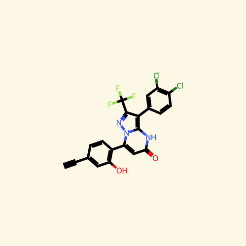 C#Cc1ccc(-c2cc(=O)[nH]c3c(-c4ccc(Cl)c(Cl)c4)c(C(F)(F)F)nn23)c(O)c1